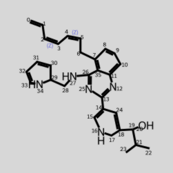 C=C/C=C\C=C/Cc1cccc2nc(C3=CNCC(C(O)C(C)C)=C3)nc(NCC3C=CC=CN3)c12